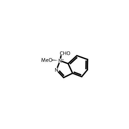 CO[N@@+]1(C=O)N=Cc2ccccc21